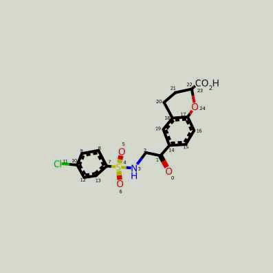 O=C(CNS(=O)(=O)c1ccc(Cl)cc1)c1ccc2c(c1)CCC(C(=O)O)O2